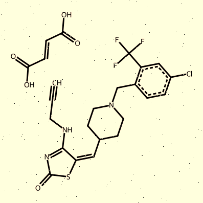 C#CCNC1=NC(=O)SC1=CC1CCN(Cc2ccc(Cl)cc2C(F)(F)F)CC1.O=C(O)C=CC(=O)O